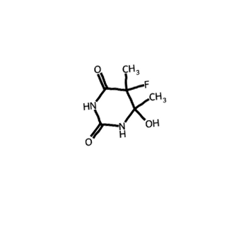 CC1(O)NC(=O)NC(=O)C1(C)F